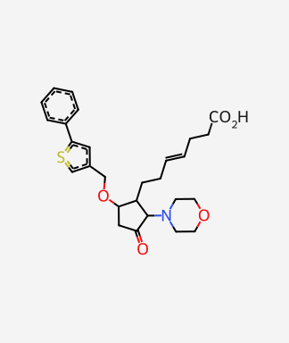 O=C(O)CCC=CCCC1C(OCc2csc(-c3ccccc3)c2)CC(=O)C1N1CCOCC1